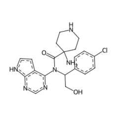 NC1(C(=O)N(c2ncnc3[nH]ccc23)C(CO)c2ccc(Cl)cc2)CCNCC1